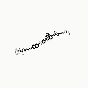 C=C(C)C(=O)OCCCCOc1ccc2cc(C(=O)Oc3ccc(C(=O)Oc4ccc(/C=C/C(=O)OCCCCC)cc4OC)cc3)ccc2c1